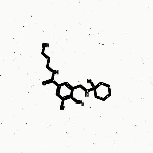 CCC1(NCc2cc(C(=O)NCCCO)cc(Br)c2N)CCCCC1